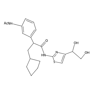 CC(=O)Nc1cccc(C(CC2CCCC2)C(=O)Nc2nc(C(O)CO)cs2)c1